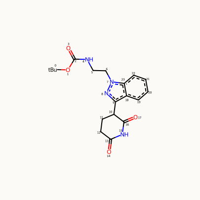 CC(C)(C)OC(=O)NCCn1nc(C2CCC(=O)NC2=O)c2ccccc21